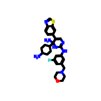 NC1CCC(C2(N)NC(Nc3cc(F)cc(CN4CCOCC4)c3)=NC=C2c2ccc3ncsc3c2)CC1